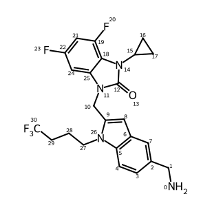 NCc1ccc2c(c1)cc(Cn1c(=O)n(C3CC3)c3c(F)cc(F)cc31)n2CCCC(F)(F)F